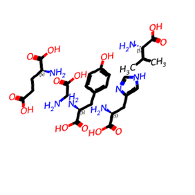 CC(C)[C@H](N)C(=O)O.NCC(=O)O.N[C@@H](CCC(=O)O)C(=O)O.N[C@@H](Cc1c[nH]cn1)C(=O)O.N[C@@H](Cc1ccc(O)cc1)C(=O)O